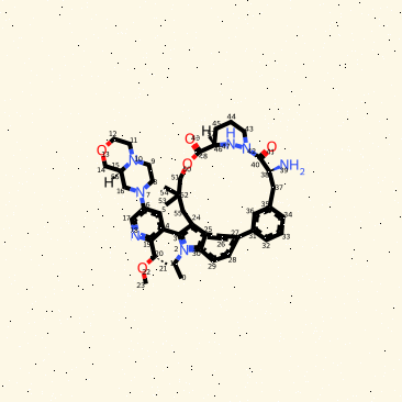 CCn1c(-c2cc(N3CCN4CCOC[C@@H]4C3)cnc2[C@H](C)OC)c2c3cc(ccc31)-c1cccc(c1)C[C@H](N)C(=O)N1CCC[C@H](N1)C(=O)OCC(C)(C)C2